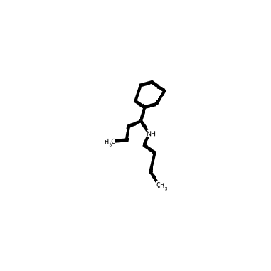 CCCCNC(CCC)C1CCCCC1